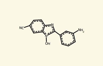 N#Cc1ccc2nc(-c3cccc(N)c3)n(O)c2c1